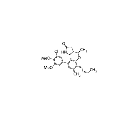 C=c1cc(-c2cc(Cl)c(OC)c(OC)c2)nc(O[C@H](C)[C@H]2CNC(=O)C2)/c1=C/C=C\C